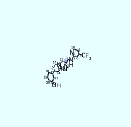 N=N/C(=C\Nc1cc(C(F)(F)F)ccn1)CN1CCC(c2cccc(O)c2)CC1